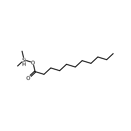 CCCCCCCCCCC(=O)O[SiH](C)C